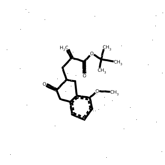 C=C(CC1Cc2c(cccc2OC)CC1=O)C(=O)OC(C)(C)C